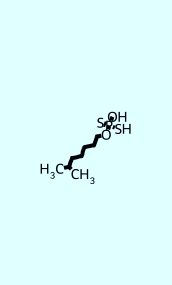 CC(C)CCCCCOP(O)(=S)S